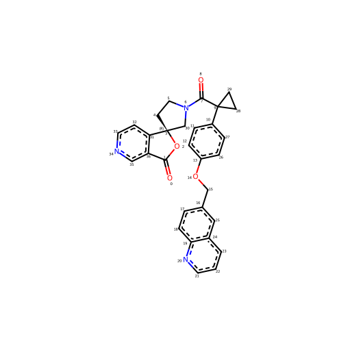 O=C1O[C@]2(CCN(C(=O)C3(c4ccc(OCc5ccc6ncccc6c5)cc4)CC3)C2)c2ccncc21